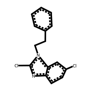 Clc1ccc2nc(Cl)n(CCc3ccccc3)c2c1